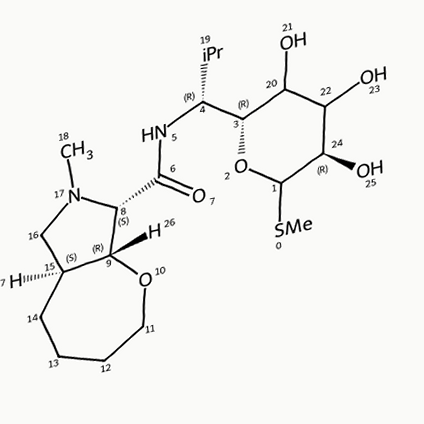 CSC1O[C@H]([C@H](NC(=O)[C@@H]2[C@@H]3OCCCC[C@H]3CN2C)C(C)C)C(O)C(O)[C@H]1O